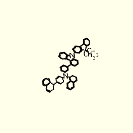 CC1(C)c2ccccc2-c2ccc(-n3c4ccccc4c4c(-c5cccc(N(c6cccc7ccccc67)C6C=CC(C7CC=Cc8ccccc87)=CC6)c5)cccc43)cc21